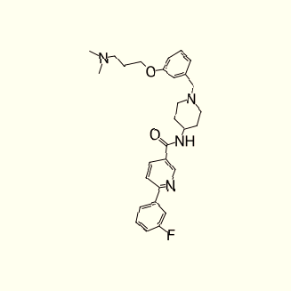 CN(C)CCCOc1cccc(CN2CCC(NC(=O)c3ccc(-c4cccc(F)c4)nc3)CC2)c1